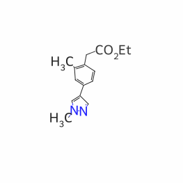 CCOC(=O)Cc1ccc(-c2cnn(C)c2)cc1C